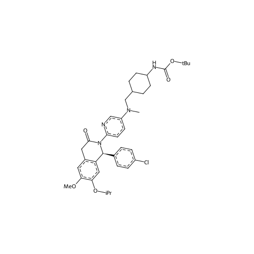 COc1cc2c(cc1OC(C)C)[C@H](c1ccc(Cl)cc1)N(c1ccc(N(C)CC3CCC(NC(=O)OC(C)(C)C)CC3)cn1)C(=O)C2